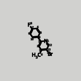 Cc1cc(-c2ccc(F)cc2)ncc1Br